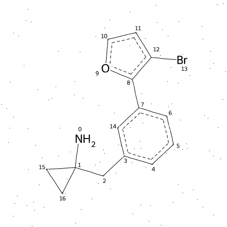 NC1(Cc2cccc(-c3occc3Br)c2)CC1